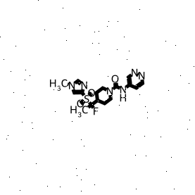 Cn1cnc(S(=O)(=O)C(C)(F)C2CCN(C(=O)Nc3ccnnc3)CC2)c1